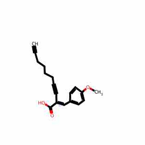 C#CCCCCC#C/C(=C\c1ccc(OC)cc1)C(=O)O